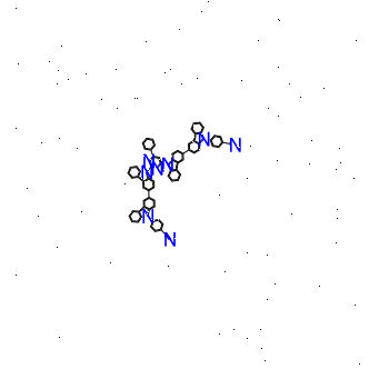 N#Cc1ccc(-n2c3ccccc3c3cc(-c4ccc5c(c4)c4ccccc4n5-c4cc(-c5ccccc5)nc(-n5c6ccccc6c6cc(-c7ccc8c(c7)c7ccccc7n8-c7ccc(C#N)cc7)ccc65)n4)ccc32)cc1